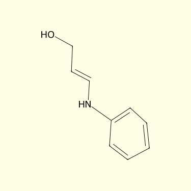 OCC=CNc1ccccc1